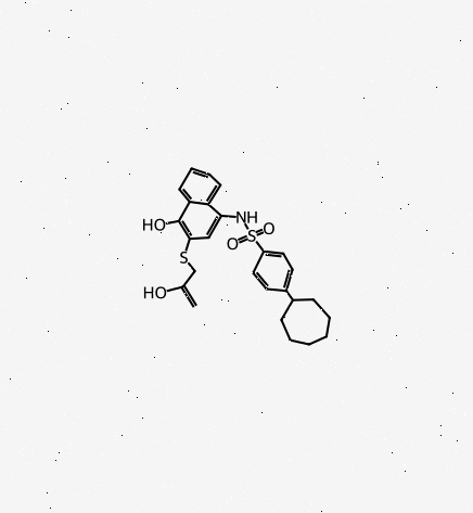 C=C(O)CSc1cc(NS(=O)(=O)c2ccc(C3CCCCCC3)cc2)c2ccccc2c1O